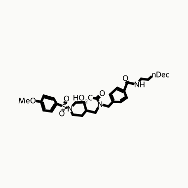 CCCCCCCCCCCCNC(=O)c1ccc(CN(CC2CCN(S(=O)(=O)c3ccc(OC)cc3)CC2)C(=O)C(=O)O)cc1